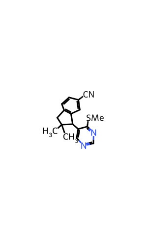 CSc1ncncc1C1c2cc(C#N)ccc2CC1(C)C